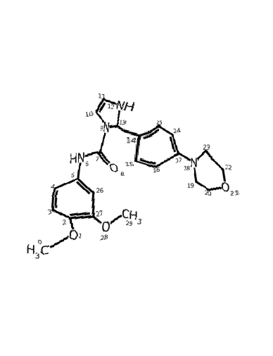 COc1ccc(NC(=O)N2C=CNC2c2ccc(N3CCOCC3)cc2)cc1OC